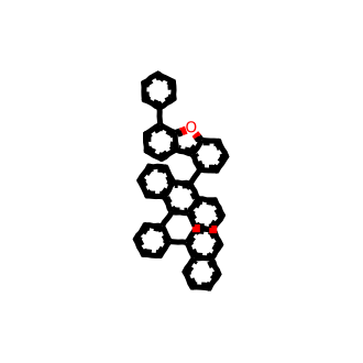 c1ccc(-c2cccc3c2oc2cccc(-c4c5ccccc5c(-c5ccccc5-c5cccc6ccccc56)c5ccccc45)c23)cc1